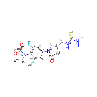 CNC(=S)NC[C@H]1CN(c2cc(F)c(N3CCOC3=O)c(F)c2)C(=O)O1